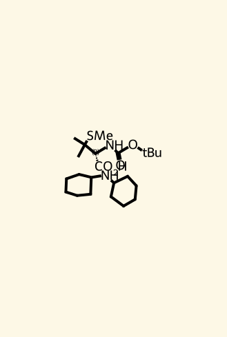 C1CCC(NC2CCCCC2)CC1.CSC(C)(C)[C@H](NC(=O)OC(C)(C)C)C(=O)O